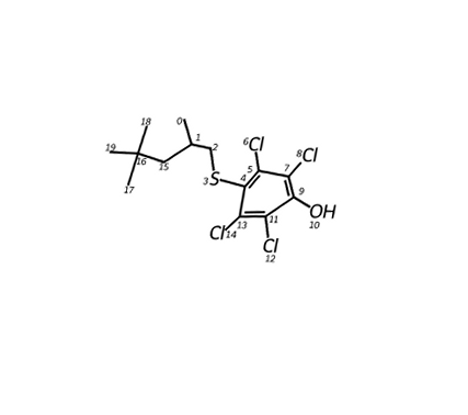 CC(CSc1c(Cl)c(Cl)c(O)c(Cl)c1Cl)CC(C)(C)C